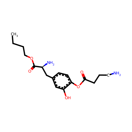 CCCCOC(=O)[C@@H](N)Cc1ccc(OC(=O)CCCN)c(O)c1